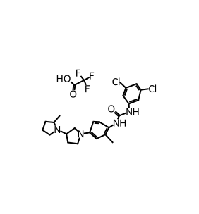 Cc1cc(N2CCC(N3CCCC3C)C2)ccc1NC(=O)Nc1cc(Cl)cc(Cl)c1.O=C(O)C(F)(F)F